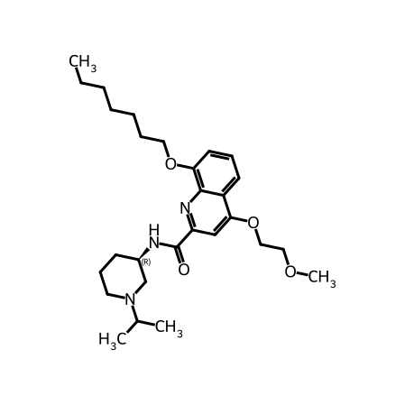 CCCCCCCOc1cccc2c(OCCOC)cc(C(=O)N[C@@H]3CCCN(C(C)C)C3)nc12